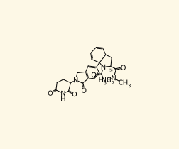 CN(C)C(=O)[C@@H]1CC2C=CC=CC2(c2ccc3c(c2)CN(C2CCC(=O)NC2=O)C3=O)N1C(N)=O